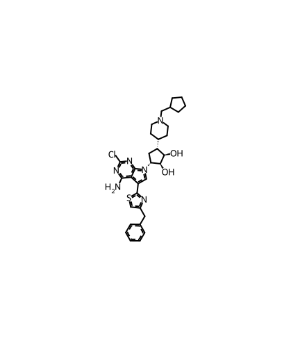 Nc1nc(Cl)nc2c1c(-c1nc(Cc3ccccc3)cs1)cn2[C@@H]1C[C@H](C2CCN(CC3CCCC3)CC2)[C@@H](O)[C@H]1O